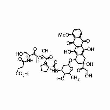 COc1cccc2c1C(=O)c1c(O)c3c(c(O)c1C2=O)C[C@@](O)(C(=O)CO)CC3OC1CC(NC(=O)[C@@H]2CCCN2C(=O)[C@@H](C)NC(=O)[C@H](CO)NC(=O)CCC(=O)O)C(O)C(C)O1